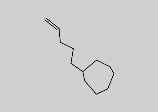 [CH]=CCCCC1CCCCCC1